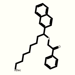 CCCCCCCCCCCCCCCCCC(SCC(=O)c1ccccc1)c1ccc2ccccc2c1